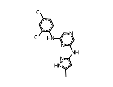 Cc1cc(Nc2cncc(Nc3ccc(Cl)cc3Cl)n2)n[nH]1